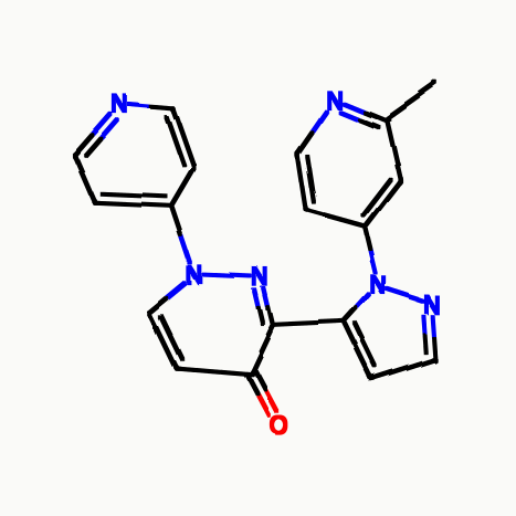 Cc1cc(-n2nccc2-c2nn(-c3ccncc3)ccc2=O)ccn1